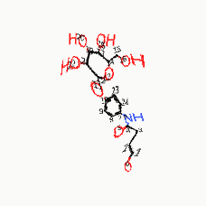 O=CCCC(=O)Nc1ccc(O[C@H]2O[C@H](CO)[C@@H](O)[C@H](O)[C@@H]2O)cc1